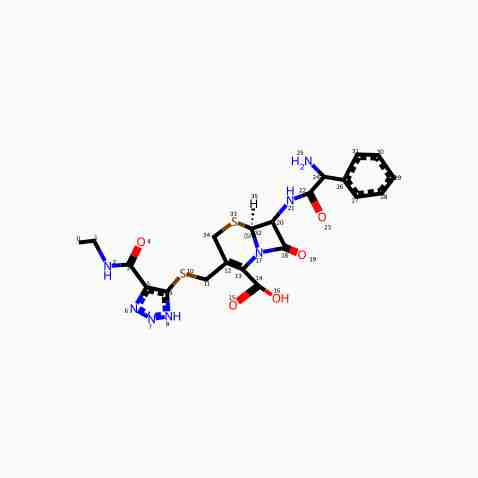 CCNC(=O)c1nn[nH]c1SCC1=C(C(=O)O)N2C(=O)C(NC(=O)C(N)c3ccccc3)[C@@H]2SC1